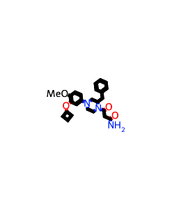 COc1ccc(N2CCN(C(=O)CC(N)=O)C(Cc3ccccc3)C2)cc1OC1CCC1